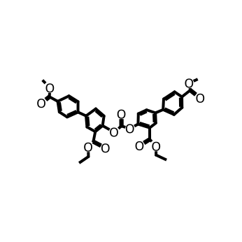 CCOC(=O)c1cc(-c2ccc(C(=O)OC)cc2)ccc1OC(=O)Oc1ccc(-c2ccc(C(=O)OC)cc2)cc1C(=O)OCC